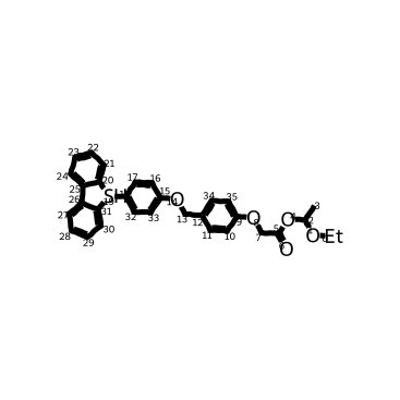 CCOC(C)OC(=O)COc1ccc(COc2ccc([SH]3c4ccccc4-c4ccccc43)cc2)cc1